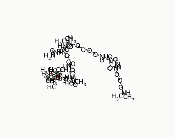 C#CCCCON(C(=O)[C@@H](NC(=O)[C@H]1CCCCN1C)[C@@H](C)CC)[C@H](C[C@@H](OC(C)=O)c1nc(C(=O)N[C@@H](Cc2ccc(NC(=O)OCc3ccc(NC(=O)[C@H](CCCNC(N)=O)NC(=O)[C@@H](NC(=O)CCOCCOCCOCCOCCNC(=O)CCC(=O)N4Cc5ccccc5-c5c(nnn5CCOCCOCCOCCNC(C)C)-c5ccccc54)C(C)C)cc3)cc2)CC(C)(C)C(=O)O)cs1)C(C)C